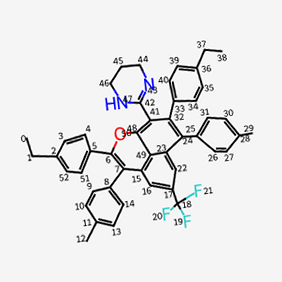 CCc1ccc(C2=C(c3ccc(C)cc3)c3cc(C(F)(F)F)cc4c(-c5ccc(C)cc5)c(-c5ccc(CC)cc5)c(C5=NCCCN5)c(c34)O2)cc1